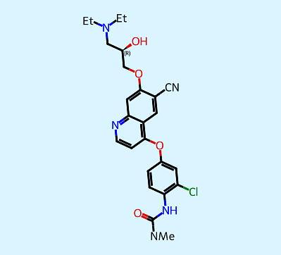 CCN(CC)C[C@@H](O)COc1cc2nccc(Oc3ccc(NC(=O)NC)c(Cl)c3)c2cc1C#N